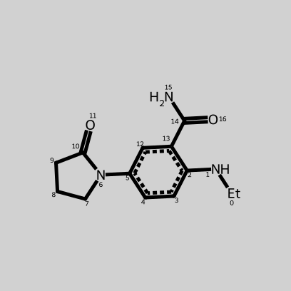 CCNc1ccc(N2CCCC2=O)cc1C(N)=O